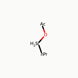 [CH2]C(=O)O[SiH2]CCC